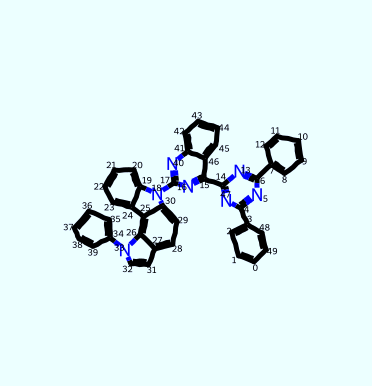 c1ccc(-c2nc(-c3ccccc3)nc(-c3nc(-n4c5ccccc5c5c6c(ccc54)ccn6-c4ccccc4)nc4ccccc34)n2)cc1